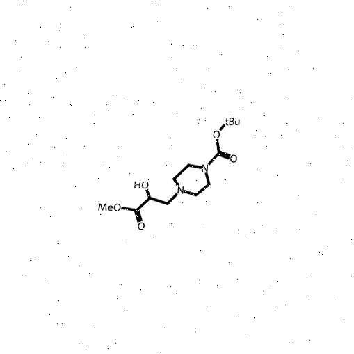 COC(=O)C(O)CN1CCN(C(=O)OC(C)(C)C)CC1